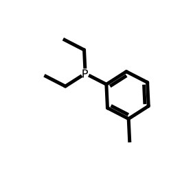 CCP(CC)c1cccc(C)c1